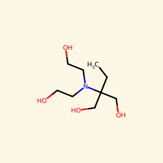 CCC(CO)(CO)N(CCO)CCO